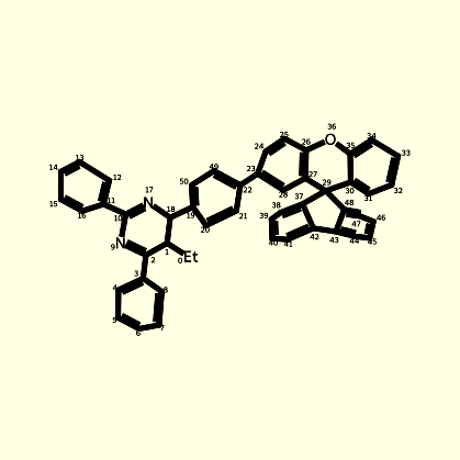 CCC1C(c2ccccc2)=NC(c2ccccc2)=NC1c1ccc(-c2ccc3c(c2)C2(c4ccccc4O3)c3ccccc3-c3ccccc32)cc1